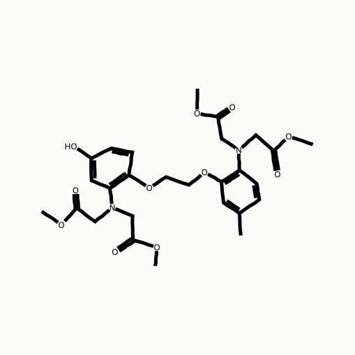 COC(=O)CN(CC(=O)OC)c1ccc(C)cc1OCCOc1ccc(O)cc1N(CC(=O)OC)CC(=O)OC